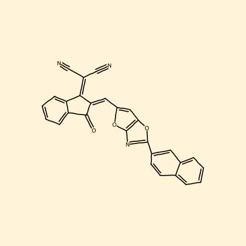 N#CC(C#N)=C1/C(=C/c2cc3oc(-c4ccc5ccccc5c4)nc3o2)C(=O)c2ccccc21